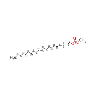 [CH2]OC(=O)OCCCCCCCCCCCCCCCCCCCCCC